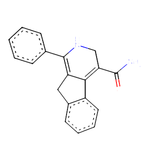 NC(=O)C1=C2C(=C(c3ccccc3)NC1)Cc1ccccc12